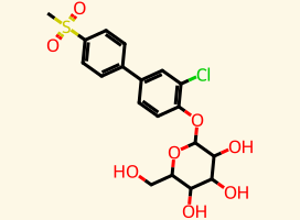 CS(=O)(=O)c1ccc(-c2ccc(OC3OC(CO)C(O)C(O)C3O)c(Cl)c2)cc1